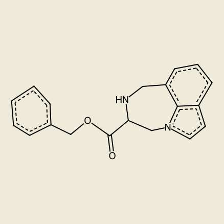 O=C(OCc1ccccc1)C1Cn2ccc3cccc(c32)CN1